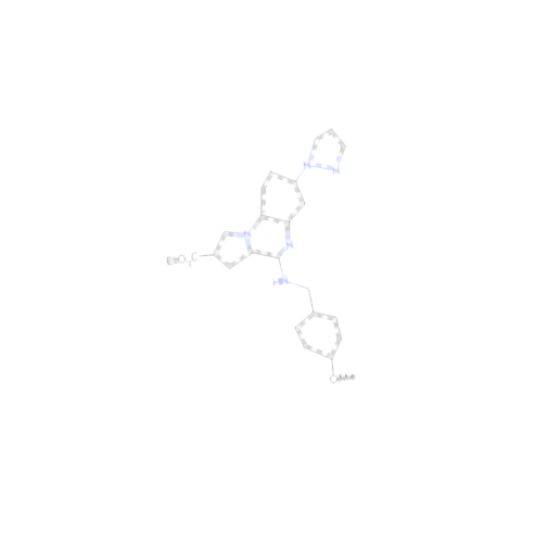 CCOC(=O)c1cc2c(NCc3ccc(OC)cc3)nc3cc(-n4cccn4)ccc3n2c1